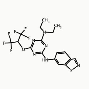 CCN(CC)c1nc(Nc2ccc3cnsc3c2)nc(OC(C(F)(F)F)C(F)(F)F)n1